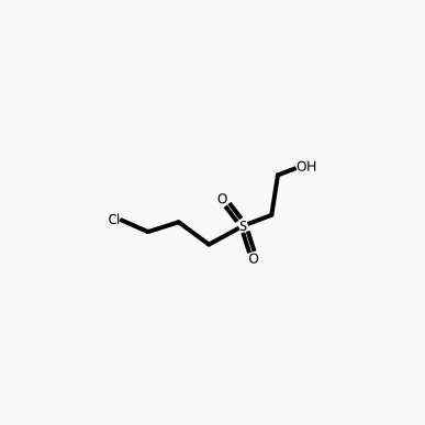 O=S(=O)(CCO)CCCCl